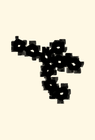 c1ccc(-c2ccc(-c3cc(-c4ccc(-c5ccc6sc7ccccc7c6c5)cc4-c4ccc5sc6ccccc6c5c4)nc(-c4ccccc4)n3)cc2)cc1